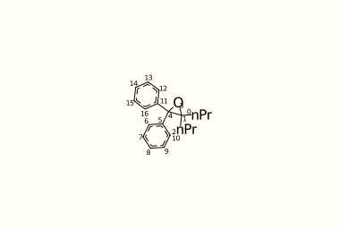 CCCC1(CCC)OC1(c1ccccc1)c1ccccc1